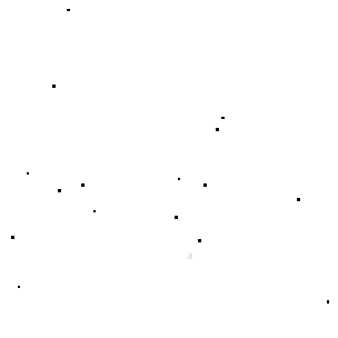 CC(C)Cc1cccc(N2CCOCC2)c1